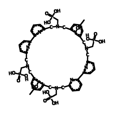 Cc1cc2c(O)c(c1)CN(CP(=O)(O)O)Cc1cccc(n1)-c1cccc(n1)CN(CP(=O)(O)O)Cc1cc(C)cc(c1O)CN(CP(=O)(O)O)Cc1cccc(n1)-c1cccc(n1)CN(CP(=O)(O)O)C2